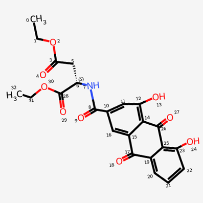 CCOC(=O)C[C@H](NC(=O)c1cc(O)c2c(c1)C(=O)c1cccc(O)c1C2=O)C(=O)OCC